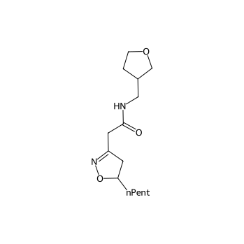 CCCCCC1CC(CC(=O)NCC2CCOC2)=NO1